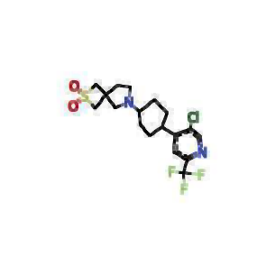 O=S1(=O)CC2(CCN(C3CCC(c4cc(C(F)(F)F)ncc4Cl)CC3)C2)C1